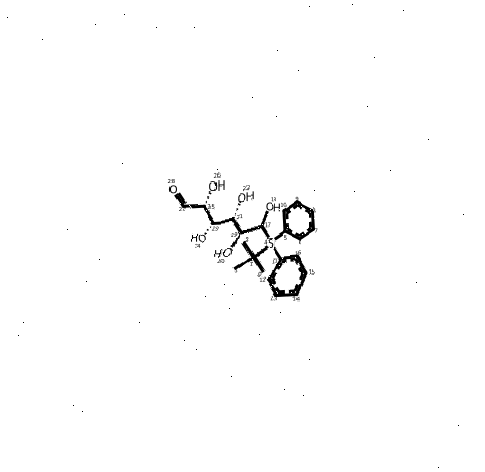 CC(C)(C)[Si](c1ccccc1)(c1ccccc1)C(O)[C@@H](O)[C@@H](O)[C@H](O)[C@@H](O)C=O